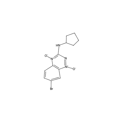 [O-][n+]1nc(NC2CCCC2)[n+]([O-])c2ccc(Br)cc21